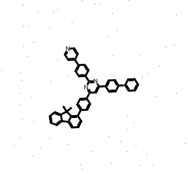 CC1(C)c2ccccc2-c2cccc(-c3ccc(-c4cc(-c5ccc(-c6ccccc6)cc5)nc(-c5ccc(-c6ccncc6)cc5)n4)cc3)c21